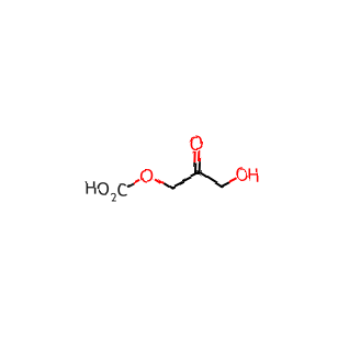 O=C(CO)COC(=O)O